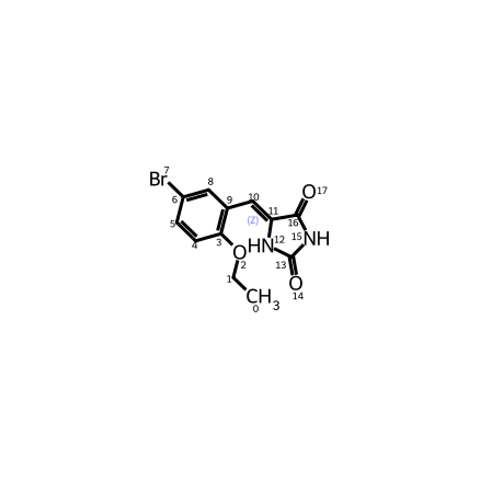 CCOc1ccc(Br)cc1/C=C1\NC(=O)NC1=O